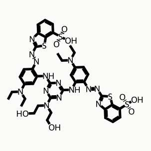 CCN(CC)c1ccc(/N=N/c2nc3cccc(S(=O)(=O)O)c3s2)c(Nc2nc(Nc3cc(N(CC)CC)ccc3/N=N/c3nc4cccc(S(=O)(=O)O)c4s3)nc(N(CCO)CCO)n2)c1